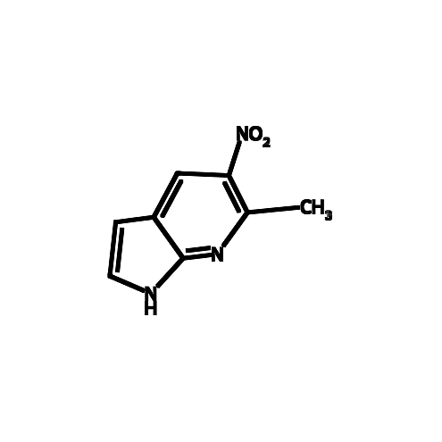 Cc1nc2[nH]ccc2cc1[N+](=O)[O-]